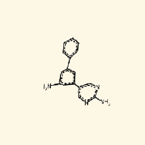 Nc1cc(-c2ccccc2)cc(-c2cnc(N)nc2)c1